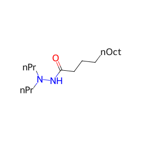 CCCCCCCCCCCC(=O)NN(CCC)CCC